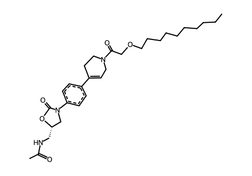 CCCCCCCCCCOCC(=O)N1CC=C(c2ccc(N3C[C@H](CNC(C)=O)OC3=O)cc2)CC1